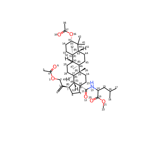 C=C(COC(C)=O)[C@@H]1CC[C@]2(C(=O)NC(CC(C)C)C(=O)OC)CC[C@]3(C)[C@H](CC[C@@H]4[C@@]5(C)CC[C@H](OC(C)=O)C(C)(C)[C@@H]5CC[C@]43C)[C@@H]12